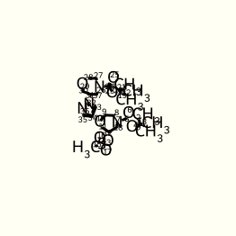 CC(C)(C)OC(=O)N1CCOC[C@@H](OS(C)(=O)=O)C1.CC(C)(C)OC(=O)N1CCOC[C@H](n2cccn2)C1